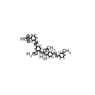 COc1cc(N=Nc2cccc(C)c2)ccc1NC(=O)Nc1ccc(N=Nc2cccc(S(=O)(=O)O)c2)cc1OC